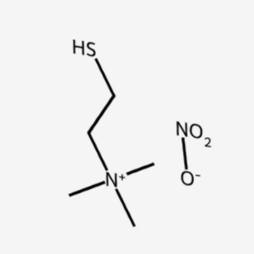 C[N+](C)(C)CCS.O=[N+]([O-])[O-]